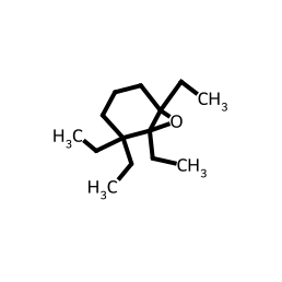 CCC1(CC)CCCC2(CC)OC12CC